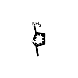 Cc1c[c]c(N)s1